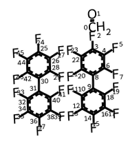 C=O.Fc1c(F)c(F)c(-c2c(F)c(F)c(F)c(F)c2F)c(F)c1F.Fc1c(F)c(F)c(-c2c(F)c(F)c(F)c(F)c2F)c(F)c1F